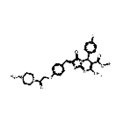 CC1=C(C(=O)OC(C)C)C(c2ccc(Cl)cc2)n2c(s/c(=C\c3ccc(OCC(=O)N4CCN(C)CC4)cc3)c2=O)=N1